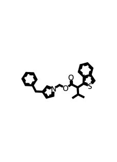 CC(C)C(C(=O)OCn1ccc(Cc2ccccc2)c1)c1scc2ccccc12